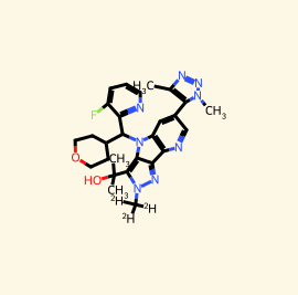 [2H]C([2H])([2H])n1nc2c3ncc(-c4c(C)nnn4C)cc3n(C(c3ncccc3F)C3CCOCC3)c2c1C(C)(C)O